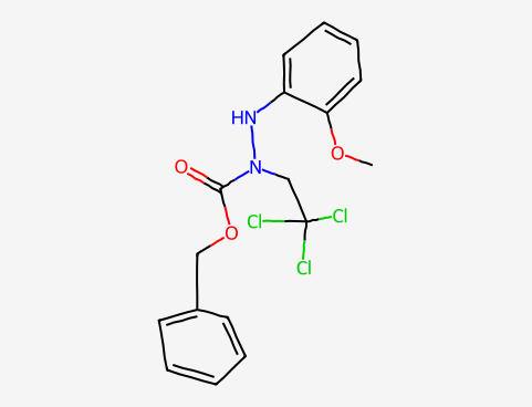 COc1ccccc1NN(CC(Cl)(Cl)Cl)C(=O)OCc1ccccc1